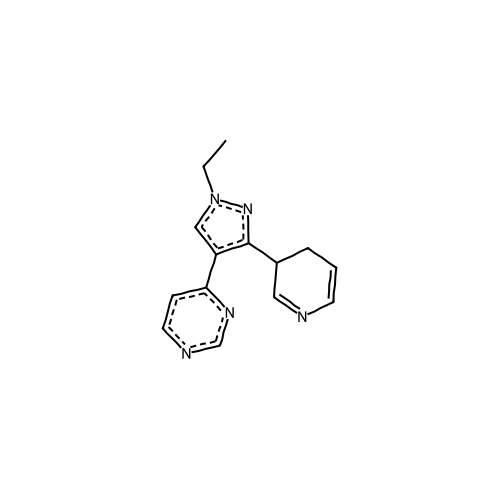 CCn1cc(-c2ccncn2)c(C2C=NC=CC2)n1